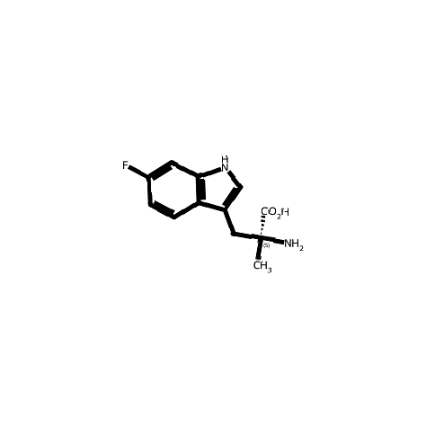 C[C@](N)(Cc1c[nH]c2cc(F)ccc12)C(=O)O